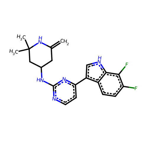 C=C1CC(Nc2nccc(-c3c[nH]c4c(F)c(F)ccc34)n2)CC(C)(C)N1